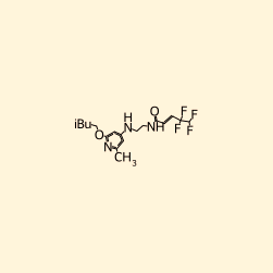 CCC(C)COc1cc(NCCNC(=O)C=CC(F)(F)C(F)F)cc(C)n1